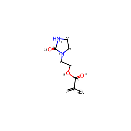 C=C(CC)C(=O)OCCN1CCNC1=O